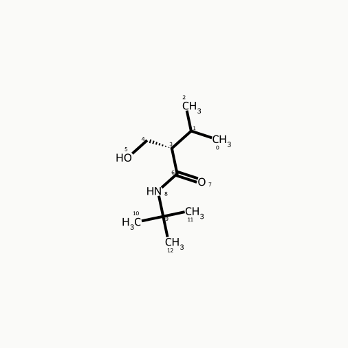 CC(C)[C@@H](CO)C(=O)NC(C)(C)C